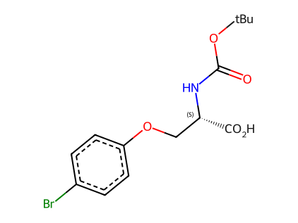 CC(C)(C)OC(=O)N[C@@H](COc1ccc(Br)cc1)C(=O)O